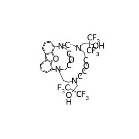 OC(CN1CCOCCN(CC(O)(C(F)(F)F)C(F)(F)F)CCN2CCOCCN(CC1)c1cccc3c1oc1c2cccc13)(C(F)(F)F)C(F)(F)F